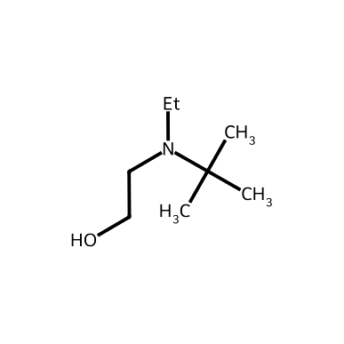 CCN(CCO)C(C)(C)C